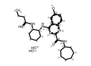 CCCC(=N)N[C@@H]1CCCC[C@@H]1Nc1nc(C(=O)NC2CCCCCC2)nc2ccc(Cl)cc12.Cl.Cl